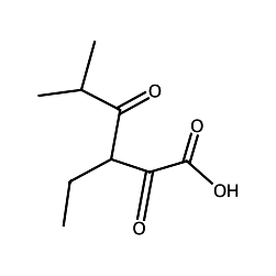 CCC(C(=O)C(=O)O)C(=O)C(C)C